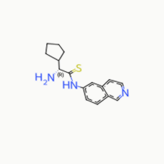 N[C@@H](C(=S)Nc1ccc2cnccc2c1)C1CCCC1